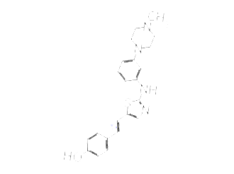 CN1CCN(c2cccc(Nc3ncc(/C=C/c4ccc(O)cc4)s3)c2)CC1